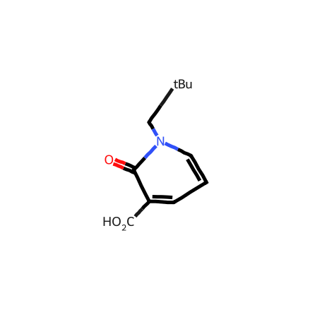 CC(C)(C)Cn1cccc(C(=O)O)c1=O